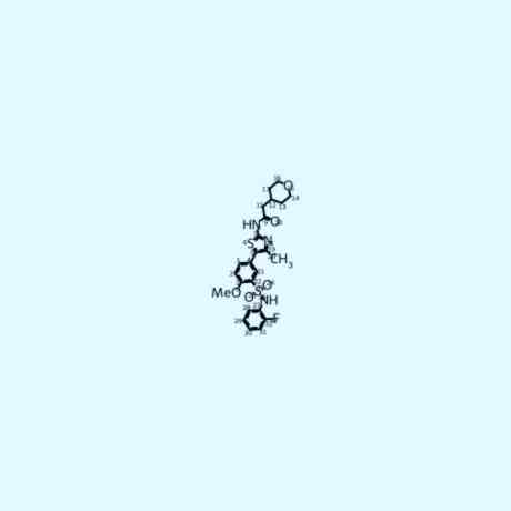 COc1ccc(-c2sc(NC(=O)CC3CCOCC3)nc2C)cc1S(=O)(=O)Nc1ccccc1F